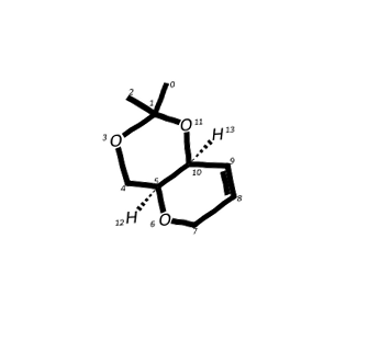 CC1(C)OC[C@@H]2OCC=C[C@@H]2O1